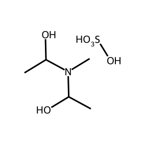 CC(O)N(C)C(C)O.O=S(=O)(O)O